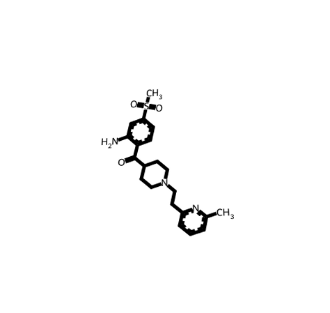 Cc1cccc(CCN2CCC(C(=O)c3ccc(S(C)(=O)=O)cc3N)CC2)n1